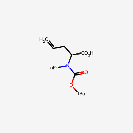 C=CC[C@@H](C(=O)O)N(CCC)C(=O)OC(C)(C)C